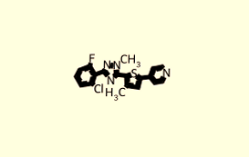 Cc1cc(-c2ccncc2)sc1-c1nc(-c2c(F)cccc2Cl)nn1C